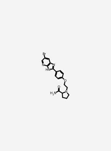 NC(=O)C1CCCN1CCOc1ccc(-c2nc3cc(Br)cnc3[nH]2)cc1